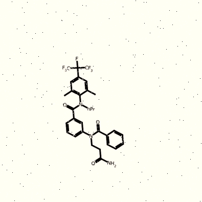 CCCN(C(=O)c1cccc(N(CCC(N)=O)C(=O)c2ccccc2)c1)c1c(C)cc(C(F)(C(F)(F)F)C(F)(F)F)cc1C